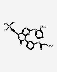 COc1ccccc1Nc1ncc2c(C#C[Si](C(C)C)(C(C)C)C(C)C)cc(=O)n(-c3cccc(NC(=O)COC(C)=O)c3)c2n1